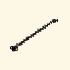 OCCCCCCCCCCCCCCCCCCCCCCCCCCCCCCCCC[Si](Cl)(Cl)Cl